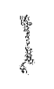 C=C1CCC(N2C(=O)c3ccc(OCCOCCOCCOc4ccc(CN5C(=O)/C(=C/C=C/c6ccc([N+](=O)[O-])cc6)c6ccccc65)cc4)cc3C2=O)C(=O)N1